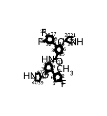 Cc1cc(F)ccc1-c1cc(NC(=O)c2ccc(OC3CCNC3)c(-c3ccc(F)c(F)c3)c2)ccc1OC1CCNC1